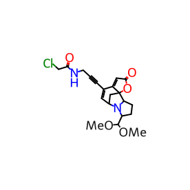 COC(OC)C1CCC2N1C1C=C(C#CCNC(=O)CCl)C3=CC(=O)OC32C1